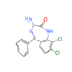 NC1N=C(c2ccccc2)c2ccc(Cl)c(Cl)c2NC1=O